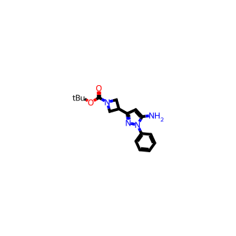 CC(C)(C)OC(=O)N1CC(c2cc(N)n(-c3ccccc3)n2)C1